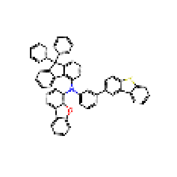 c1ccc(C2(c3ccccc3)c3ccccc3-c3c(N(c4cccc(-c5ccc6sc7ccccc7c6c5)c4)c4cccc5c4oc4ccccc45)cccc32)cc1